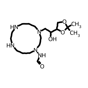 CC1(C)OCC(C(O)CN2CCCNCCNCCCN(NC=O)CC2)O1